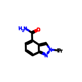 CC(C)n1cc2c(C(N)=O)cccc2n1